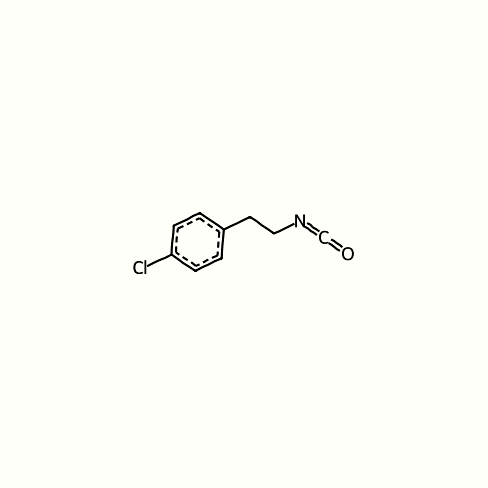 O=C=NCCc1ccc(Cl)cc1